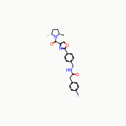 C[C@@H]1CC[C@@H](C)N1C(=O)c1coc(-c2ccc(CNC(=O)Cc3ccc(I)cc3)cc2)n1